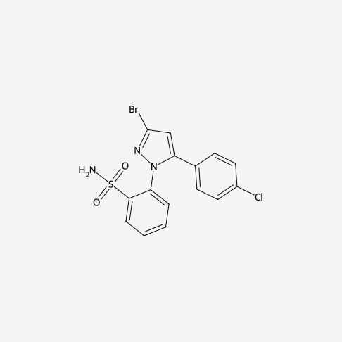 NS(=O)(=O)c1ccccc1-n1nc(Br)cc1-c1ccc(Cl)cc1